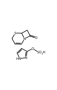 O=C1CC2SCC=CN12.O=S(=O)(O)Oc1cc[nH]n1